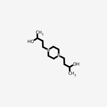 CC(O)CCN1CCN(CCC(C)O)CC1